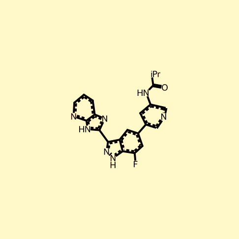 CC(C)C(=O)Nc1cncc(-c2cc(F)c3[nH]nc(-c4nc5cccnc5[nH]4)c3c2)c1